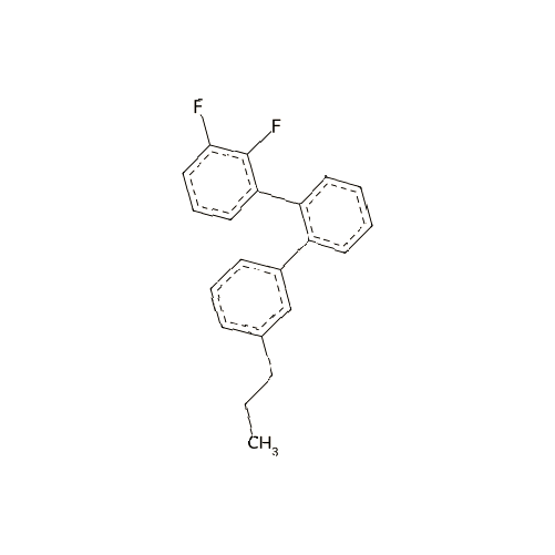 CCCc1cccc(-c2ccccc2-c2cccc(F)c2F)c1